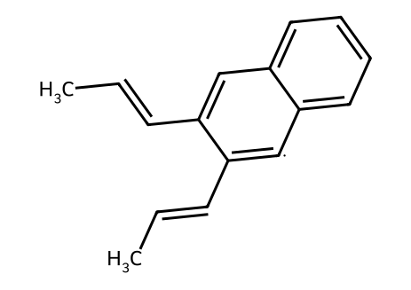 CC=Cc1[c]c2ccccc2cc1C=CC